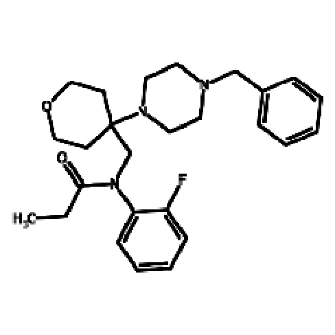 CCC(=O)N(CC1(N2CCN(Cc3ccccc3)CC2)CCOCC1)c1ccccc1F